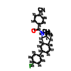 C[C@H]1C2CCN(C(=O)c3ccc(C#N)cc3)C1c1cc(-c3ccc(F)cc3)ccc12